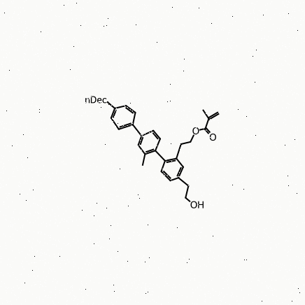 C=C(C)C(=O)OCCc1cc(CCO)ccc1-c1ccc(-c2ccc(CCCCCCCCCC)cc2)cc1C